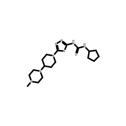 CN1CCN(C2CCN(c3nnc(NC(=O)NC4CCCC4)s3)CC2)CC1